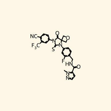 Cn1nccc1C(=O)NCc1ccc(N2C(=S)N(c3ccc(C#N)c(C(F)(F)F)c3)C(=O)C23COC3)cc1F